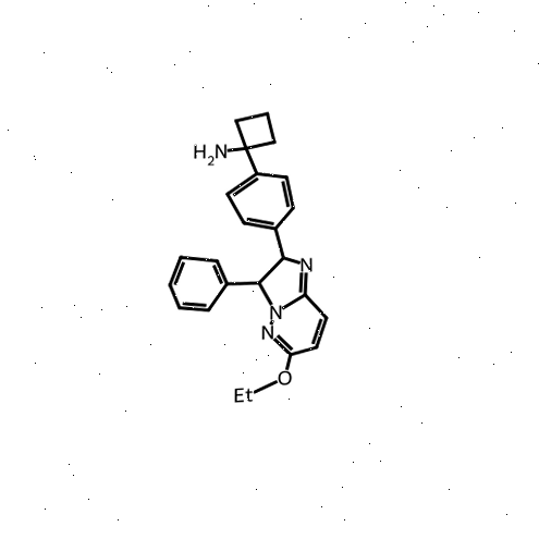 CCOC1=NN2C(=NC(c3ccc(C4(N)CCC4)cc3)C2c2ccccc2)C=C1